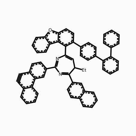 CCC1C=C(c2c(-c3ccc(-c4ccccc4-c4ccccc4)cc3)ccc3oc4ccccc4c23)N=C(c2ccc3c#cc4ccccc4c3c2)N=C1c1ccc2ccccc2c1